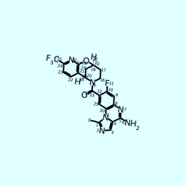 Cc1ncc2c(N)nc3cc(F)c(C(=O)N4CC[C@H]5C[C@@H]4c4ccc(C(F)(F)F)nc4O5)cc3n12